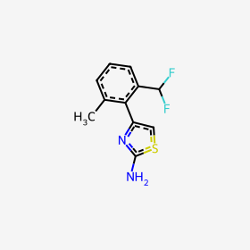 Cc1cccc(C(F)F)c1-c1csc(N)n1